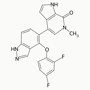 Cn1cc(-c2ccc3[nH]ncc3c2Oc2ccc(F)cc2F)c2cc[nH]c2c1=O